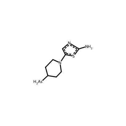 Nc1ncc(N2CCC([AsH2])CC2)s1